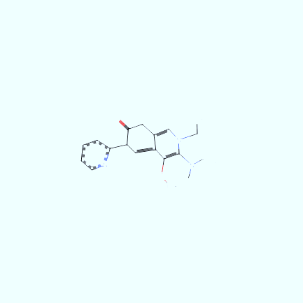 CCCCOC1=C(N(C)C(=O)O)N(CC(C)C)C=C2CC(=O)C(c3ccccn3)C=C21